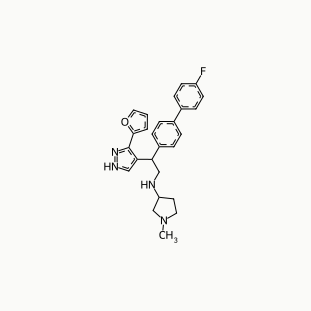 CN1CCC(NCC(c2ccc(-c3ccc(F)cc3)cc2)c2c[nH]nc2-c2ccco2)C1